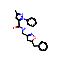 Cc1cc(C(=O)NCC2=NOC(Cc3ccccc3)C2)n(-c2ccccc2)n1